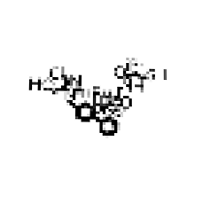 CCCCc1nc(Cl)c(CO)n1Cc1ccc(-c2ccccc2S(=O)(=O)NC(=O)CNC(=O)C(CS)C(C)C)cc1